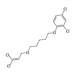 ClC(Cl)=CCOCCCCCOc1ccc(Cl)cc1Cl